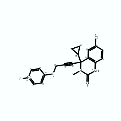 CN1C(=O)Nc2ccc(Cl)cc2C1(C#CCOc1cc[n+]([O-])cc1)C1CC1